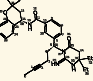 CC#CCC[C@H](c1cccc(C(=O)N[C@H]2CC(C)(C)Oc3ccccc32)c1)N1C(=N)NC(CC)(CC)CC1=O